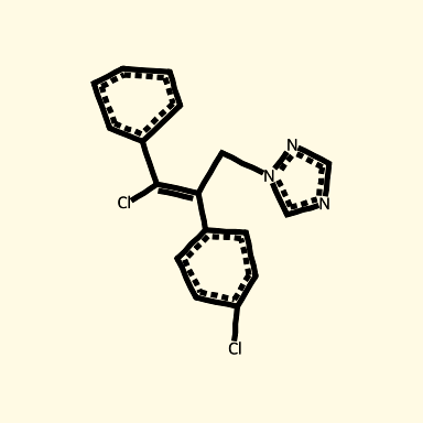 Cl/C(=C(/Cn1cncn1)c1ccc(Cl)cc1)c1ccccc1